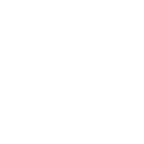 CCCCCCCCCCCCCCCCCCC/C=C/C(=O)O